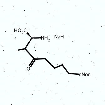 CCCCCCCCCCCCCC(=O)C(C)[C@H](N)C(=O)O.[NaH]